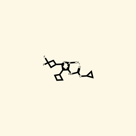 Cn1nc(C2CC(F)(F)C2)c(C2CCC2)c1NC(=O)OC1CC1